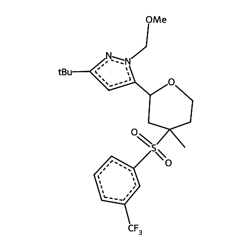 COCn1nc(C(C)(C)C)cc1C1CC(C)(S(=O)(=O)c2cccc(C(F)(F)F)c2)CCO1